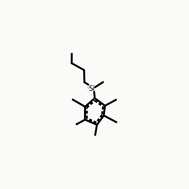 CCCC[Si](C)c1c(C)c(C)c(C)c(C)c1C